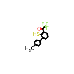 Cc1ccc(-c2cccc(C(=O)C(F)(F)F)c2S)cc1